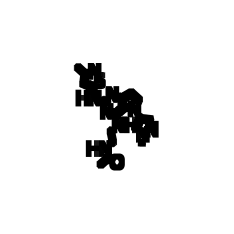 CC(=O)NCCNc1nc(Nc2cc(C)ns2)nc2ccn(-c3cnn(C)c3)c12